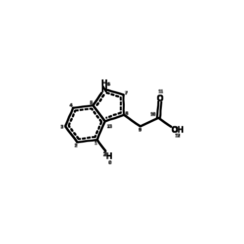 [2H]c1cccc2[nH]cc(CC(=O)O)c12